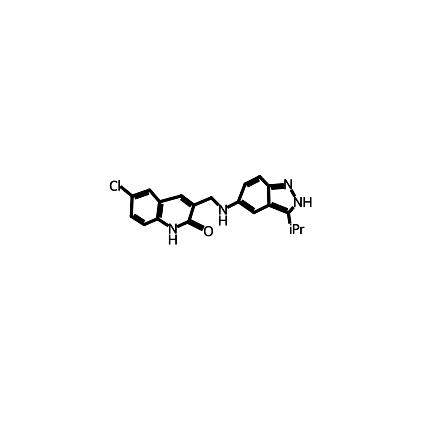 CC(C)c1[nH]nc2ccc(NCc3cc4cc(Cl)ccc4[nH]c3=O)cc12